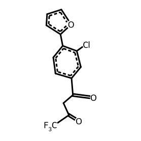 O=C(CC(=O)C(F)(F)F)c1ccc(-c2ccco2)c(Cl)c1